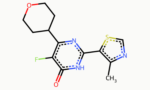 Cc1ncsc1-c1nc(C2CCOCC2)c(F)c(=O)[nH]1